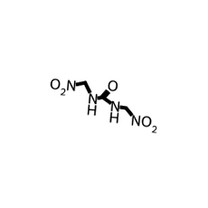 O=C(NC[N+](=O)[O-])NC[N+](=O)[O-]